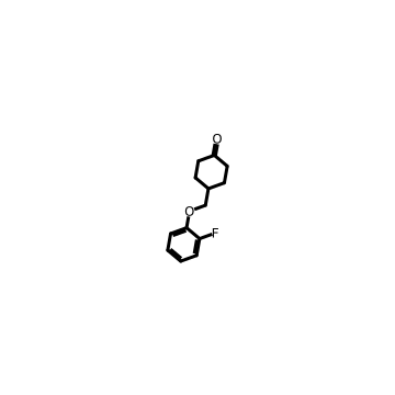 O=C1CCC(COc2ccccc2F)CC1